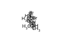 Cc1cc(C)c(CNC(=O)c2cc(Br)cc(NC3CCCC3)c2C)c(=O)[nH]1